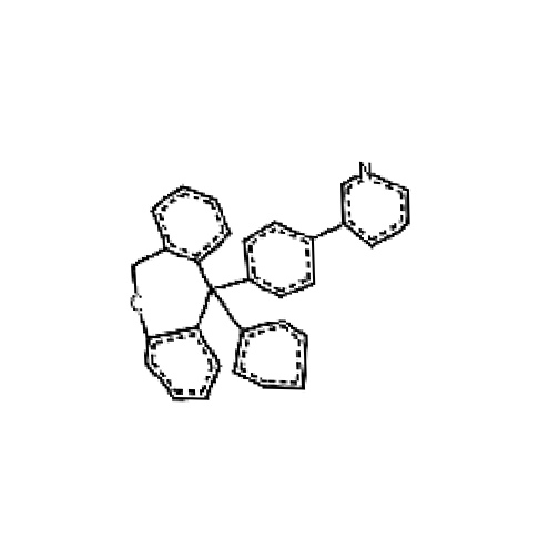 c1ccc(C2(c3ccc(-c4cccnc4)cc3)c3ccccc3CCc3ccccc32)cc1